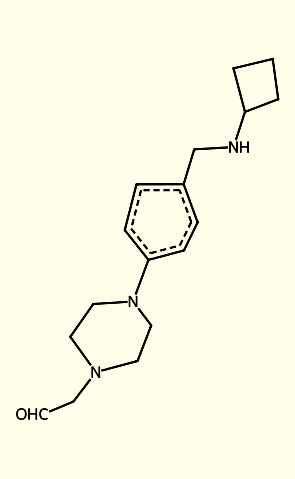 O=CCN1CCN(c2ccc(CNC3CCC3)cc2)CC1